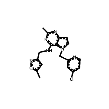 Cc1nc(NCc2cc(C)on2)c2c(ccn2Cc2cc(Cl)ccn2)n1